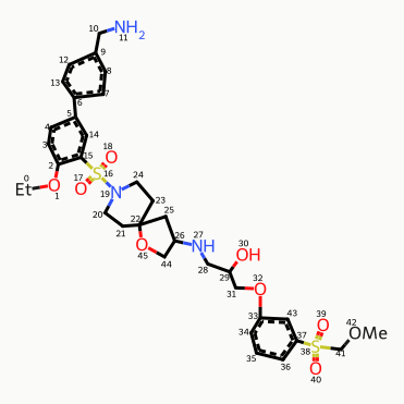 CCOc1ccc(-c2ccc(CN)cc2)cc1S(=O)(=O)N1CCC2(CC1)CC(NCC(O)COc1cccc(S(=O)(=O)COC)c1)CO2